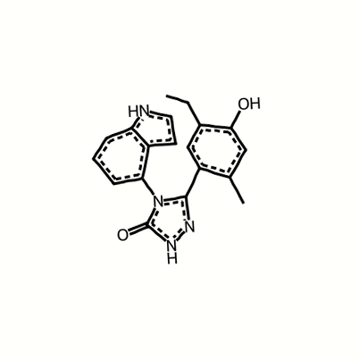 CCc1cc(-c2n[nH]c(=O)n2-c2cccc3[nH]ccc23)c(C)cc1O